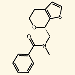 CN(C[C@@H]1OCCc2ccsc21)C(=O)c1ccccc1